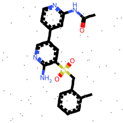 CC(=O)Nc1cc(-c2cnc(N)c(S(=O)(=O)Cc3ccccc3C)c2)ccn1